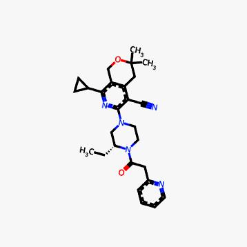 CC[C@@H]1CN(c2nc(C3CC3)c3c(c2C#N)CC(C)(C)OC3)CCN1C(=O)Cc1ccccn1